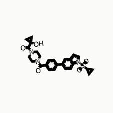 O=C(c1ccc(-c2ccc3c(ccn3S(=O)(=O)C3CC3)c2)cc1)N1CCN(C(=O)C2(O)CC2)CC1